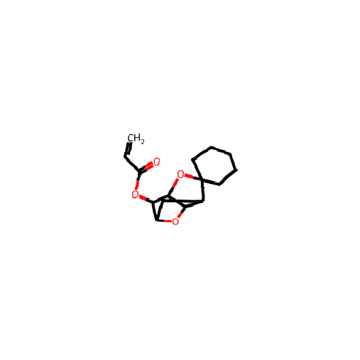 C=CC(=O)OC1C2CC3C(O2)C1OC31CCCCC1